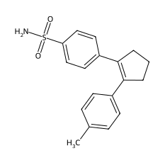 Cc1ccc(C2=C(c3ccc(S(N)(=O)=O)cc3)CCC2)cc1